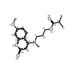 COc1ccc2c(N(C)CCCOC(=O)C(C)C)cc(=O)oc2c1